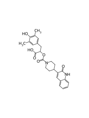 Cc1cc(CC(OC(=O)N2CCC(c3cc4ccccc4[nH]c3=O)CC2)C(=O)O)cc(C)c1O